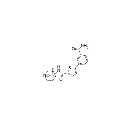 NC(=O)c1cccc(-c2ccc(C(=O)N[C@H]3CN4CCC3CC4)s2)c1